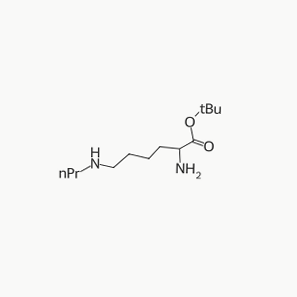 [CH2][CH]CNCCCCC(N)C(=O)OC(C)(C)C